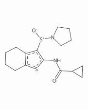 O=C(Nc1sc2c(c1[S+]([O-])N1CCCC1)CCCC2)C1CC1